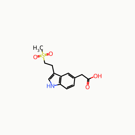 CS(=O)(=O)CCc1c[nH]c2ccc(CC(=O)O)cc12